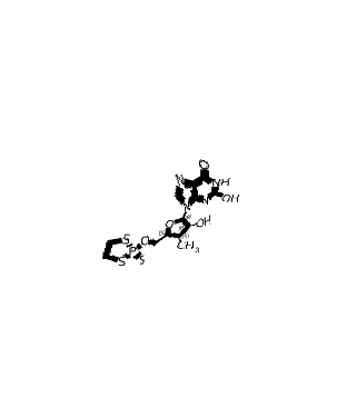 C[C@H]1[C@@H](O)[C@H](n2cnc3c(=O)[nH]c(O)nc32)O[C@@H]1COP1(=S)SCCS1